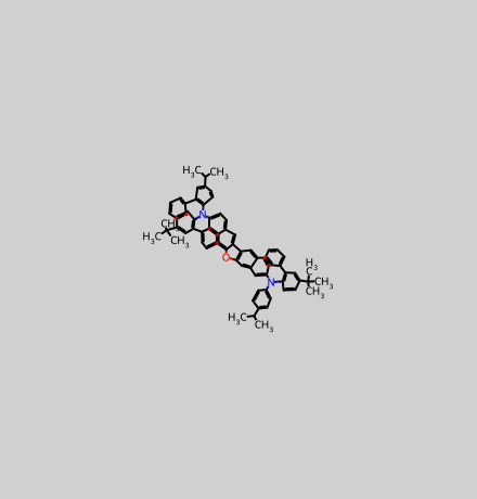 CC(C)c1ccc(N(c2ccc3cc4c(cc3c2)oc2cc3cc(N(c5ccc(C(C)C)cc5-c5ccccc5)c5ccc(C(C)(C)C)cc5-c5ccccc5)ccc3cc24)c2ccc(C(C)(C)C)cc2-c2ccccc2)cc1